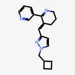 C(=C1CCCN=C1c1cccnc1)c1ccn(CC2CCC2)n1